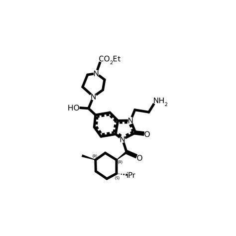 CCOC(=O)N1CCN(C(O)c2ccc3c(c2)n(CCN)c(=O)n3C(=O)[C@@H]2C[C@H](C)CC[C@H]2C(C)C)CC1